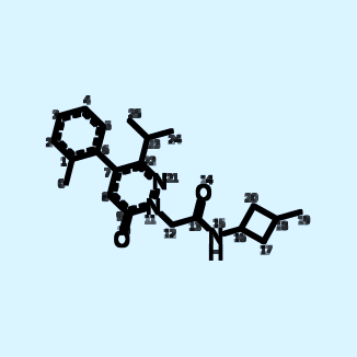 Cc1ccccc1-c1cc(=O)n(CC(=O)NC2CC(C)C2)nc1C(C)C